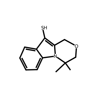 CC1(C)COCc2c(S)c3ccccc3n21